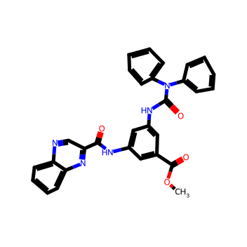 COC(=O)c1cc(NC(=O)c2cnc3ccccc3n2)cc(NC(=O)N(c2ccccc2)c2ccccc2)c1